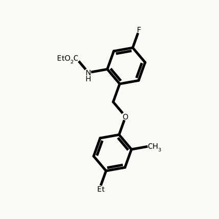 CCOC(=O)Nc1cc(F)ccc1COc1ccc(CC)cc1C